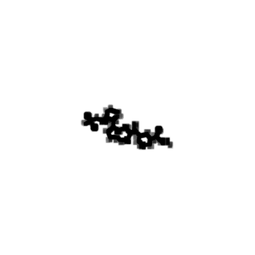 CS(=O)(=O)CNc1ccccc1-c1ccc2cnc(Nc3cncc(C(N)=O)c3)nn12